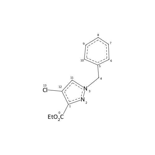 CCOC(=O)c1nn(Cc2ccccc2)cc1Cl